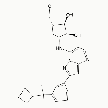 CC(C)(c1cccc(-c2cc3nccc(N[C@@H]4C[C@H](CO)[C@@H](O)[C@H]4O)n3n2)c1)C1CCC1